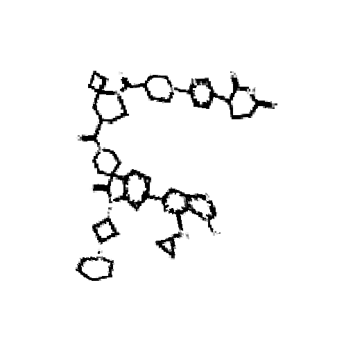 CC(C)n1cnc2cc(-c3ccc4c(c3)N([C@H]3C[C@@H](N5CCCCC5)C3)C(=O)C43CCN(C(=O)C4CCN(C(=O)C5CCN(c6ccc(C7CCC(=O)NC7=O)cn6)CC5)C5(CCC5)C4)CC3)nc(NC3CC3)c21